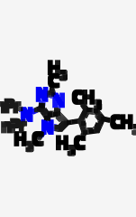 CCCN(CCC)c1nc(C)nc2c(-c3c(C)cc(C)cc3C)cn(C)c12